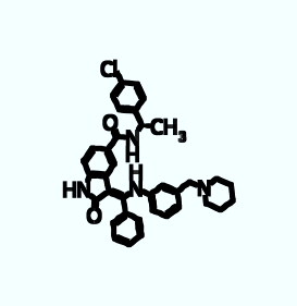 C[C@@H](NC(=O)c1ccc2c(c1)C(=C(Nc1cccc(CN3CCCCC3)c1)c1ccccc1)C(=O)N2)c1ccc(Cl)cc1